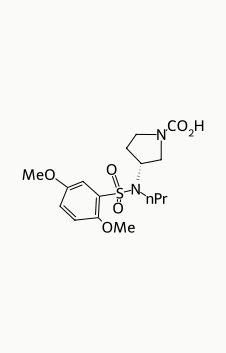 CCCN([C@@H]1CCN(C(=O)O)C1)S(=O)(=O)c1cc(OC)ccc1OC